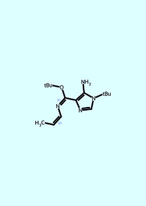 C/C=C\N=C(\OC(C)(C)C)c1ncn(C(C)(C)C)c1N